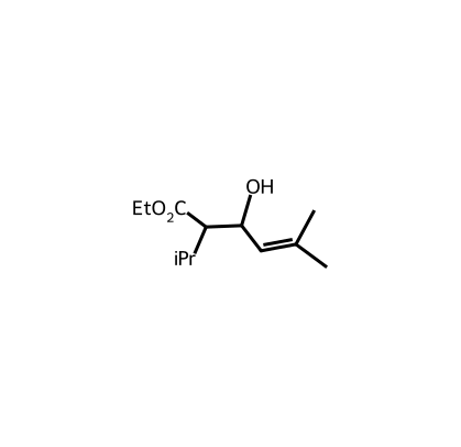 CCOC(=O)C(C(C)C)C(O)C=C(C)C